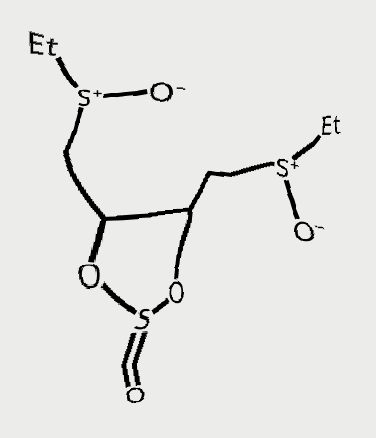 CC[S+]([O-])CC1OS(=O)OC1C[S+]([O-])CC